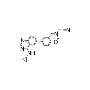 CC(=O)N(CC#N)Cc1cccc(-c2ccc3ncnc(NC4CC4)c3c2)c1